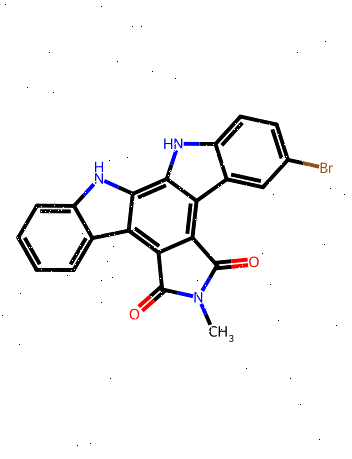 CN1C(=O)c2c(c3c4cc(Br)ccc4[nH]c3c3[nH]c4ccccc4c23)C1=O